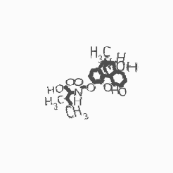 CC[C@@H](C)C(NC(=O)Oc1ccc2c3c1O[C@H]1C(=O)CC[C@@]4(O)[C@@H](C2)N(C)CC[C@]314)C(=O)O